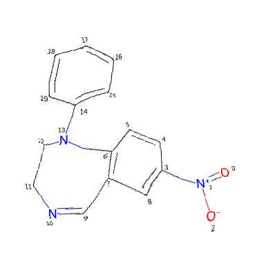 O=[N+]([O-])c1ccc2c(c1)C=NCCN2c1ccccc1